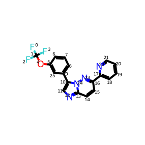 FC(F)(F)Oc1cccc(-c2cnc3ccc(-c4ccccn4)nn23)c1